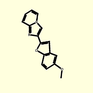 COc1ccc2oc(-c3cn4ccccc4n3)cc2c1